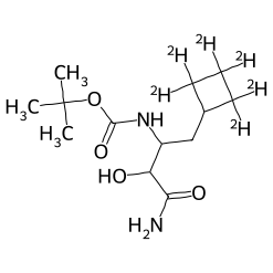 [2H]C1([2H])C(CC(NC(=O)OC(C)(C)C)C(O)C(N)=O)C([2H])([2H])C1([2H])[2H]